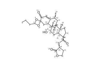 CCCC1OC2(C[C@@]3(C)C(=CC2=O)[C@@H](F)C[C@@H]2[C@@H]4CC[C@@H](C(=O)S[C@H]5CCOC5=O)[C@@]4(C)C[C@H](O)[C@@]23F)O1